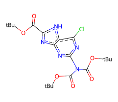 CC(C)(C)OC(=O)c1nc2nc(N(C(=O)OC(C)(C)C)C(=O)OC(C)(C)C)nc(Cl)c2[nH]1